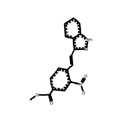 COC(=O)c1ccc(/C=C/c2n[nH]c3ccccc23)c([N+](=O)[O-])c1